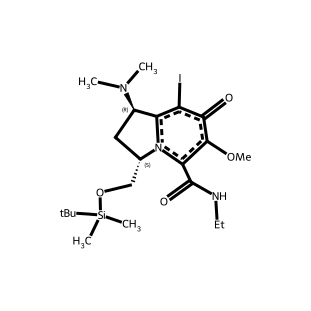 CCNC(=O)c1c(OC)c(=O)c(I)c2n1[C@H](CO[Si](C)(C)C(C)(C)C)C[C@H]2N(C)C